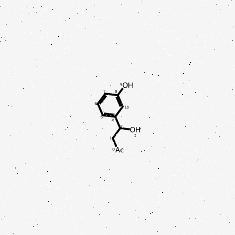 CC(=O)CC(O)c1cccc(O)c1